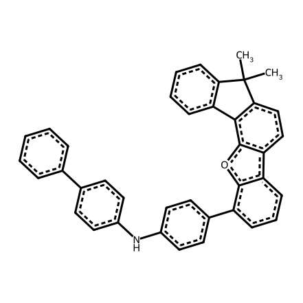 CC1(C)c2ccccc2-c2c1ccc1c2oc2c(-c3ccc(Nc4ccc(-c5ccccc5)cc4)cc3)cccc21